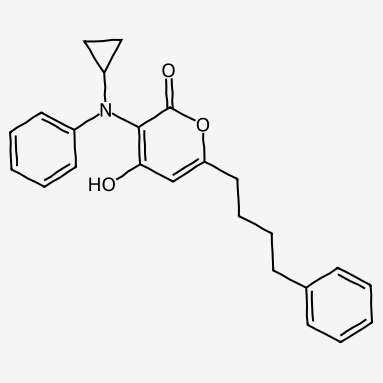 O=c1oc(CCCCc2ccccc2)cc(O)c1N(c1ccccc1)C1CC1